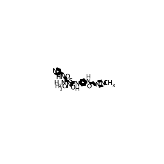 CCN1C(=O)[C@@H](CNc2ccc(NC(=O)CCN3CCN(C)CC3)cc2)SC1[C@H](N)C(=O)NCc1ccncc1